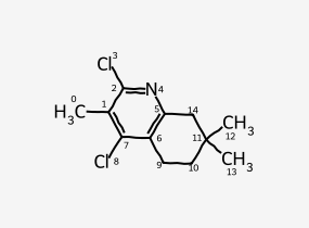 Cc1c(Cl)nc2c(c1Cl)CCC(C)(C)C2